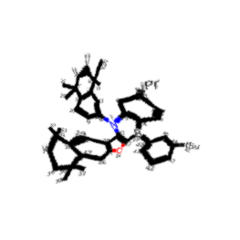 CC(C)c1ccc2c(c1)N(c1ccc3c(c1)C(C)(C)CCC3(C)C)c1c(oc3cc4c(cc13)C(C)(C)CCC4(C)C)B2c1cccc(C(C)(C)C)c1